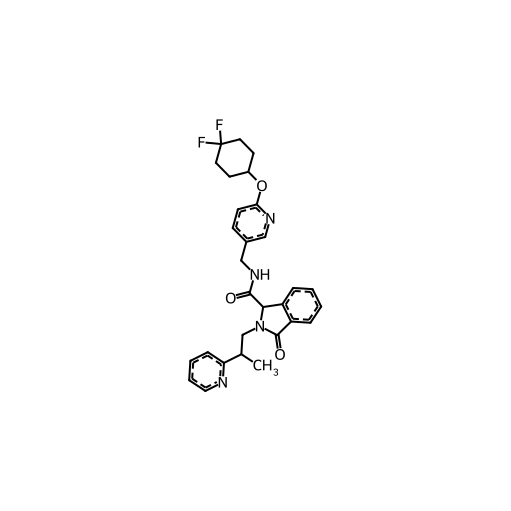 CC(CN1C(=O)c2ccccc2C1C(=O)NCc1ccc(OC2CCC(F)(F)CC2)nc1)c1ccccn1